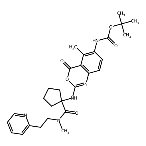 Cc1c(NC(=O)OC(C)(C)C)ccc2nc(NC3(C(=O)N(C)CCc4ccccn4)CCCC3)oc(=O)c12